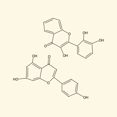 O=c1c(O)c(-c2cccc(O)c2O)oc2ccccc12.O=c1cc(-c2ccc(O)cc2)oc2cc(O)cc(O)c12